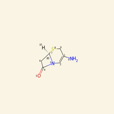 NC1=CN2C(=O)C[C@H]2SC1